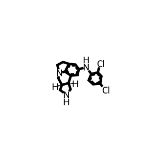 Clc1ccc(Nc2cc3c4c(c2)[C@H]2CNC[C@H]2CN4CC3)c(Cl)c1